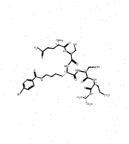 CN[C@@H](CCC(N)=O)C(=O)N[C@@H](CO)C(=O)N[C@@H](CCCCNC(=O)c1ccc(Br)cc1)C(=O)N[C@@H](CO)C(=O)N[C@@H](CCC(=O)O)C(=O)N[C@@H](C)C(=O)O